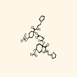 O=C(/C=C\C(=O)OC1(C(=O)NCCN2CCCC2)CCC(O[N+](=O)[O-])CC1)OC1(C(=O)NCCN2CCCC2)CCC(O[N+](=O)[O-])CC1